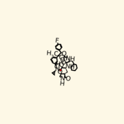 CC(C)(c1cccc(Cl)c1)C(OC(=O)N[C@@H](CC1CCCCC1)C(=O)N[C@@H](C[C@@H]1CCNC1=O)C(=O)C(=O)NC1CC1)c1ccc(F)cc1